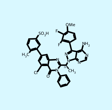 COc1ccc(-c2nn([C@@H](C)c3nc4cc(-c5cc(S(=O)(=O)O)ccc5C)cc(Cl)c4c(=O)n3-c3ccccc3)c3ncnc(N)c23)c(F)c1F